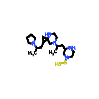 CC(CC1CC12CN(C(C)CC1CN(SS)CCN1)CCN2)N1CCCC1